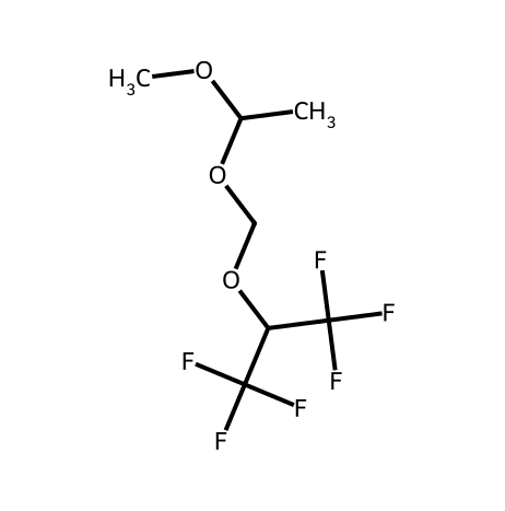 COC(C)OCOC(C(F)(F)F)C(F)(F)F